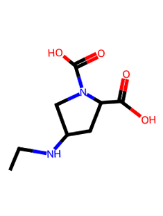 CCNC1CC(C(=O)O)N(C(=O)O)C1